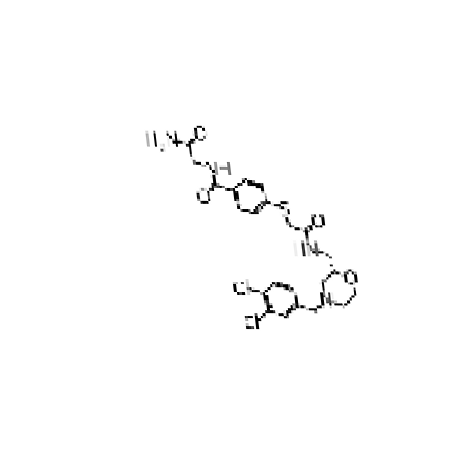 NC(=O)CNC(=O)c1ccc(SCC(=O)NC[C@H]2CN(Cc3ccc(Cl)c(Cl)c3)CCO2)cc1